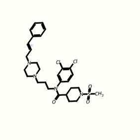 CS(=O)(=O)N1CCC(C(=O)N(CCCN2CCN(C/C=C/c3ccccc3)CC2)c2ccc(Cl)c(Cl)c2)CC1